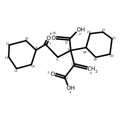 C=C(C(=O)O)C(CC(=O)C1CCCCC1)(C(=O)O)C1CCCCC1